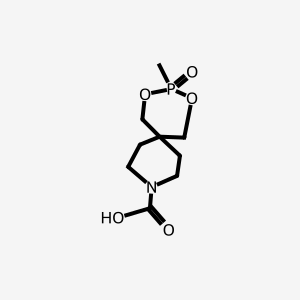 CP1(=O)OCC2(CCN(C(=O)O)CC2)CO1